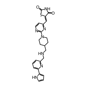 O=C1NC(=O)/C(=C/c2ccnc(N3CCC(CNCc4cccc(-c5ccc[nH]5)n4)CC3)n2)S1